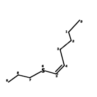 CCCC/C=[C]\SCCC